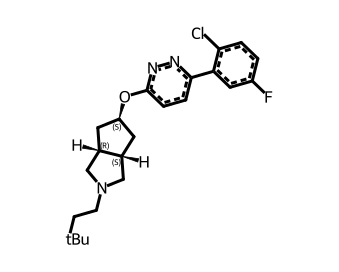 CC(C)(C)CCN1C[C@H]2C[C@H](Oc3ccc(-c4cc(F)ccc4Cl)nn3)C[C@H]2C1